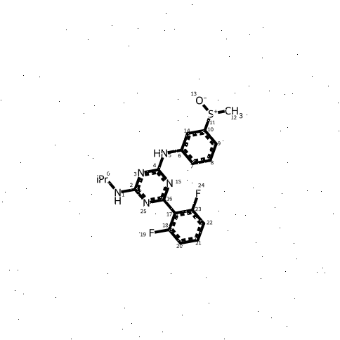 CC(C)Nc1nc(Nc2cccc([S+](C)[O-])c2)nc(-c2c(F)cccc2F)n1